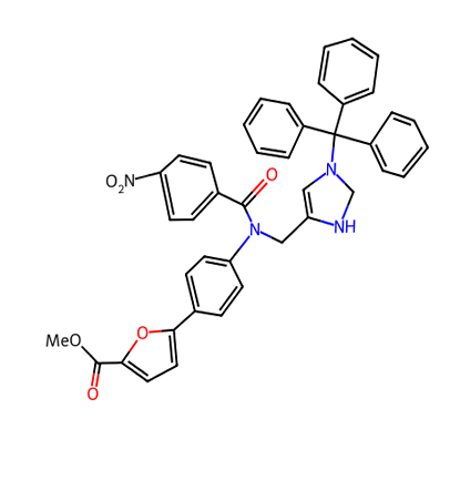 COC(=O)c1ccc(-c2ccc(N(CC3=CN(C(c4ccccc4)(c4ccccc4)c4ccccc4)CN3)C(=O)c3ccc([N+](=O)[O-])cc3)cc2)o1